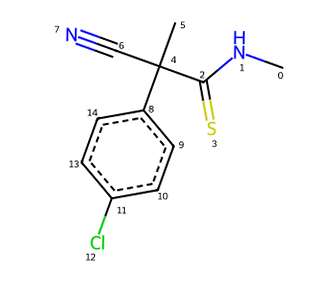 CNC(=S)C(C)(C#N)c1ccc(Cl)cc1